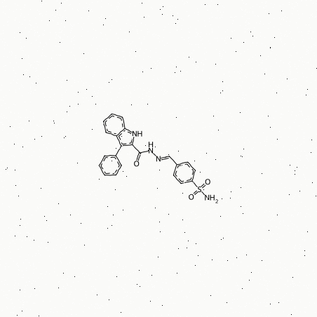 NS(=O)(=O)c1ccc(/C=N/NC(=O)c2[nH]c3ccccc3c2-c2ccccc2)cc1